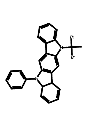 CCC(C)(CC)n1c2ccccc2c2cc3c(cc21)C1C=CC=CC1N3c1ccccc1